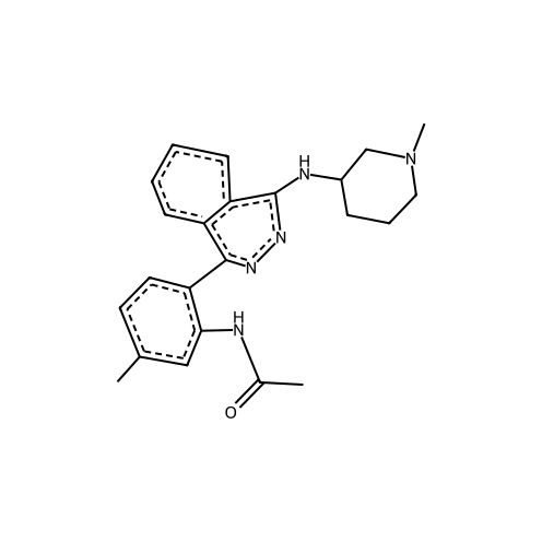 CC(=O)Nc1cc(C)ccc1-c1nnc(NC2CCCN(C)C2)c2ccccc12